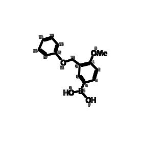 COc1ccc(B(O)O)cc1COc1ccccc1